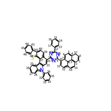 C1=CC2=C3C(=CC=C4C(c5nc(-c6ccccc6)nc(-c6cc7c(c8ccccc8n7-c7ccccc7)c7c6ccc6c8ccccc8sc67)n5)=CC=C(C=C2)C43)C1